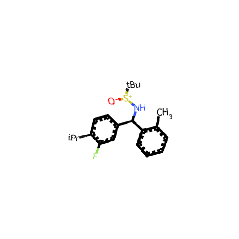 Cc1ccccc1C(N[S+]([O-])C(C)(C)C)c1ccc(C(C)C)c(F)c1